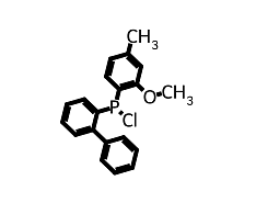 COc1cc(C)ccc1P(Cl)c1ccccc1-c1ccccc1